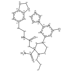 CCCN1CCN(c2cc(Cl)nc(-n3ccnc3)n2)CC1(CC(=O)NCCc1ccc2c(c1)OCO2)C(N)=O